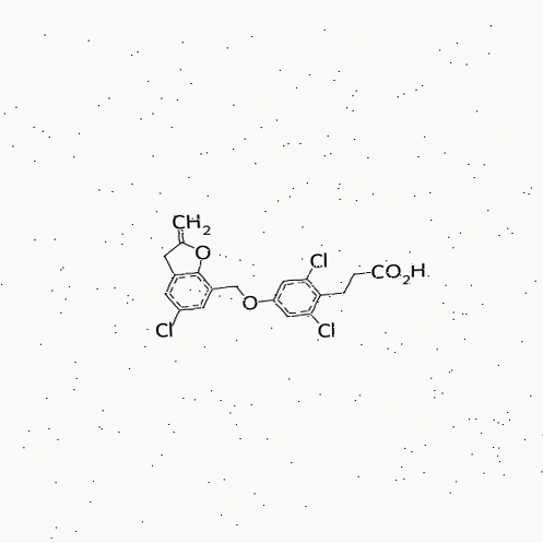 C=C1Cc2cc(Cl)cc(COc3cc(Cl)c(CCC(=O)O)c(Cl)c3)c2O1